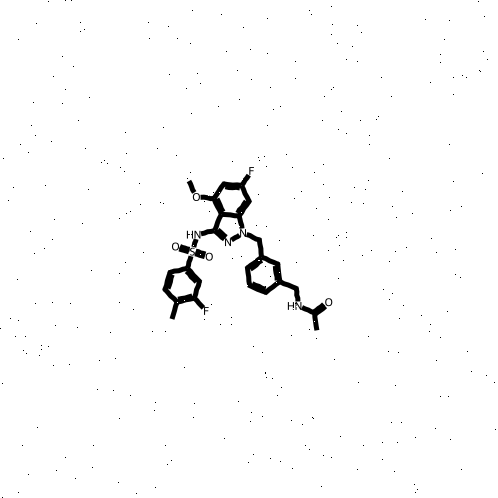 COc1cc(F)cc2c1c(NS(=O)(=O)c1ccc(C)c(F)c1)nn2Cc1cccc(CNC(C)=O)c1